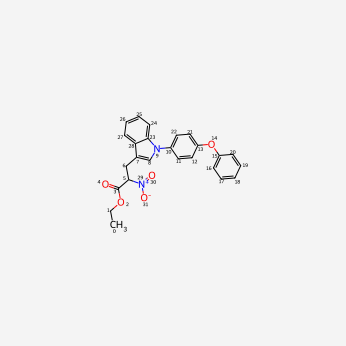 CCOC(=O)C(Cc1cn(-c2ccc(Oc3ccccc3)cc2)c2ccccc12)[N+](=O)[O-]